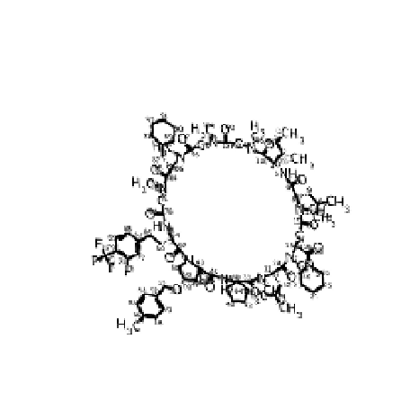 CC[C@H](C)[C@@H]1NC(=O)[C@H](CC(C)C)N(C)C(=O)C[C@@H](C(=O)N2CCCCC2)N(C)C(=O)[C@H](CC(C)C)N(C)C(=O)C2(CCCC2)NC(=O)[C@@H]2C[C@H](OCc3ccc(C)cc3)CN2C(=O)[C@H](CCc2ccc(C(F)(F)F)c(F)c2)NC(=O)CN(C)C(=O)[C@H](CC2CCCCC2)N(C)C(=O)CN(C)C(=O)CN(C)C1=O